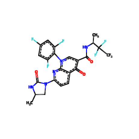 CC1CN(c2ccc3c(=O)c(C(=O)NC(C)C(F)(F)C(F)(F)F)cn(-c4c(F)cc(F)cc4F)c3n2)C(=O)N1